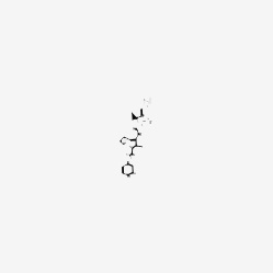 Cc1c(C(=O)C(=O)NC2(/C(N)=C/NN)CC2)c2n(c1C(=O)Nc1ccc(F)c(Cl)c1)CCC2